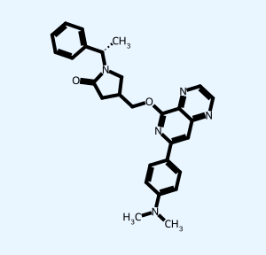 C[C@@H](c1ccccc1)N1CC(COc2nc(-c3ccc(N(C)C)cc3)cc3nccnc23)CC1=O